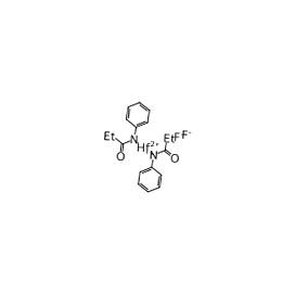 CCC(=O)[N]([Hf+2][N](C(=O)CC)c1ccccc1)c1ccccc1.[F-].[F-]